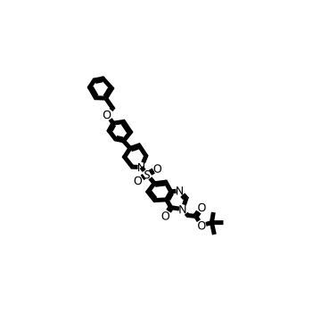 CC(C)(C)OC(=O)Cn1cnc2cc(S(=O)(=O)N3CC=C(c4ccc(OCc5ccccc5)cc4)CC3)ccc2c1=O